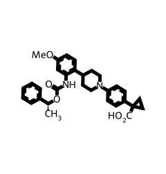 COc1ccc(C2CCN(c3ccc(C4(C(=O)O)CC4)cc3)CC2)c(NC(=O)O[C@H](C)c2ccccc2)c1